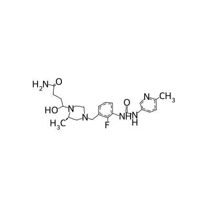 Cc1ccc(NC(=O)Nc2cccc(CN3CCN(C(O)CCC(N)=O)[C@H](C)C3)c2F)cn1